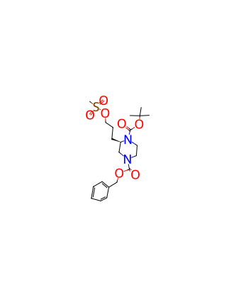 CC(C)(C)OC(=O)N1CCN(C(=O)OCc2ccccc2)C[C@H]1CCCOS(C)(=O)=O